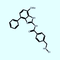 CCNCc1ccc(C(=O)Nc2nc3c(-c4ccccc4)ccc(OC)c3[nH]2)cc1